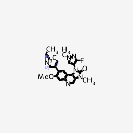 C\C=C(/C=N\C=C\C)c1cc2c(cc1OC)ncc1c2n(-c2cn(C)nc2F)c(=O)n1C